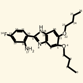 CCCCOc1cc2nc(-c3ccc(F)cc3N)[nH]c2cc1OCCCC